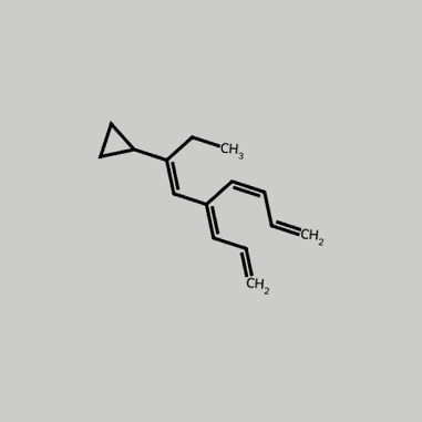 C=C\C=C/C(=C\C=C)/C=C(\CC)C1CC1